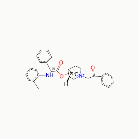 Cc1ccccc1N[C@@H](C(=O)O[C@H]1C[N+]2(CC(=O)c3ccccc3)CCC1CC2)c1ccccc1